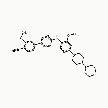 COc1cc(-c2cnc(Nc3cnc(N4CCC(N5CCOCC5)CC4)nc3OC)nc2)ccc1C#N